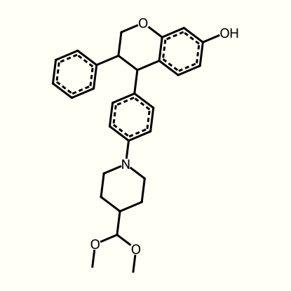 COC(OC)C1CCN(c2ccc(C3c4ccc(O)cc4OCC3c3ccccc3)cc2)CC1